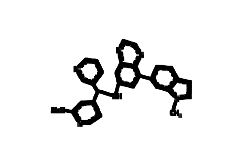 CNc1cc(C(Nc2cc(-c3ccc4ccn(C)c4c3)c3nccnc3c2)c2cccnc2)ccn1